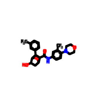 O=C(Nc1ccc(N2CCOCC2)c(C(F)(F)F)c1)C1C2CC(O)C(O2)C1c1cccc(C(F)(F)F)c1